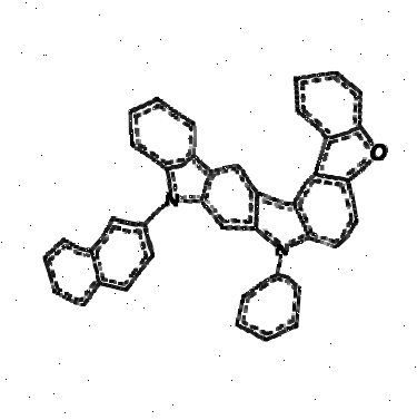 c1ccc(-n2c3cc4c(cc3c3c5c(ccc32)oc2ccccc25)c2ccccc2n4-c2ccc3ccccc3c2)cc1